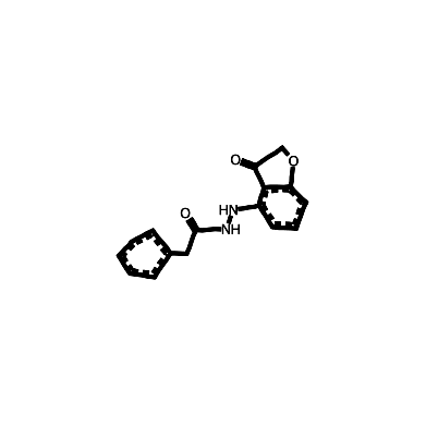 O=C(Cc1ccccc1)NNc1cccc2c1C(=O)CO2